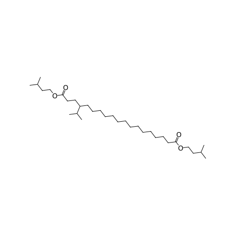 CC(C)CCOC(=O)CCCCCCCCCCCCCCC(CCC(=O)OCCC(C)C)C(C)C